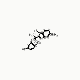 CCn1c(C(C)(C)Oc2cc(F)ccc2F)nc2cc(N)ccc21